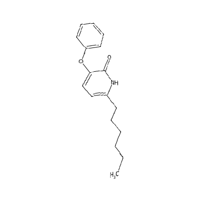 CCCCCCc1ccc(Oc2ccccc2)c(=O)[nH]1